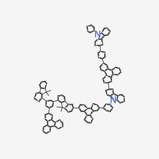 CC1(C)c2ccccc2-c2cccc(-c3cc(-c4ccc5c6ccccc6c6ccccc6c5c4)cc(-c4cccc5c4C(C)(C)c4ccc(-c6ccc7c8ccc(-c9cccc(-n%10c%11ccccc%11c%11cc(-c%12ccc%13c%14ccc(-c%15ccc(-c%16ccc%17c(c%16)c%16ccccc%16n%17-c%16ccccc%16)cc%15)cc%14c%14ccccc%14c%13c%12)ccc%11%10)c9)cc8c8ccccc8c7c6)cc4-5)c3)c21